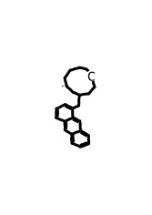 [CH]1CCCCCCCC(Cc2cccc3cc4ccccc4cc23)C1